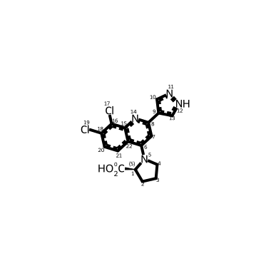 O=C(O)[C@@H]1CCCN1c1cc(-c2cn[nH]c2)nc2c(Cl)c(Cl)ccc12